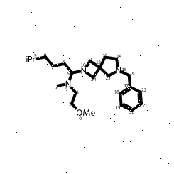 COCCN(C)C(CCCC(C)C)N1CC2(CCN(Cc3ccccc3)C2)C1